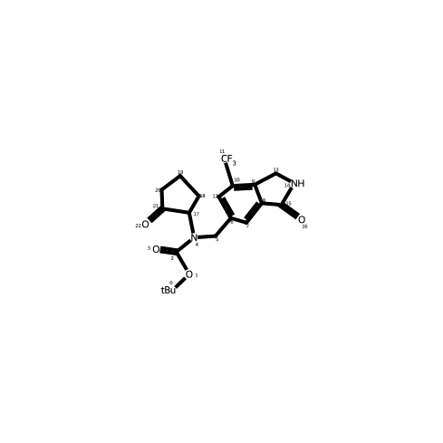 CC(C)(C)OC(=O)N(Cc1cc2c(c(C(F)(F)F)c1)CNC2=O)C1CCCC1=O